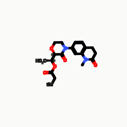 CN1C(=O)CCc2ccc(N3CCO[C@H]([C@@H](OC(=O)CC(C)(C)C)C(=O)O)C3=O)cc21